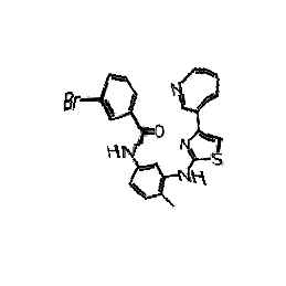 Cc1ccc(NC(=O)c2cccc(Br)c2)cc1Nc1nc(-c2cccnc2)cs1